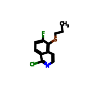 CCCSc1c(F)ccc2c(Cl)nccc12